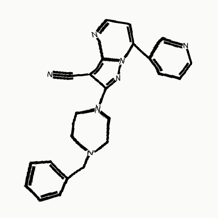 N#Cc1c(N2CCN(Cc3ccccc3)CC2)nn2c(-c3cccnc3)ccnc12